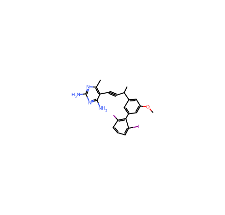 COc1cc(-c2c(I)cccc2I)cc(C(C)C#Cc2c(C)nc(N)nc2N)c1